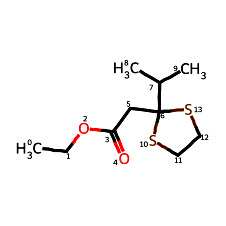 CCOC(=O)CC1(C(C)C)SCCS1